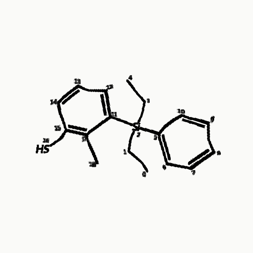 CC[Si](CC)(c1ccccc1)c1cccc(S)c1C